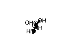 C=C(NCC1=CC=C(C)NC1)C(=O)N(C=O)CCCO